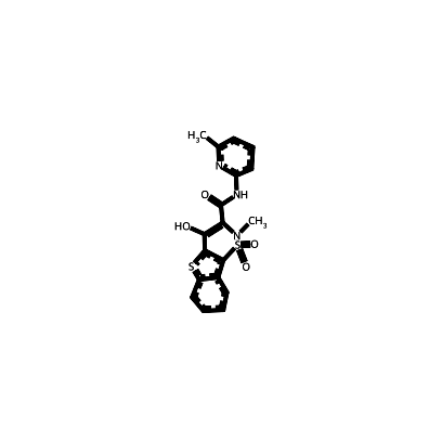 Cc1cccc(NC(=O)C2=C(O)c3sc4ccccc4c3S(=O)(=O)N2C)n1